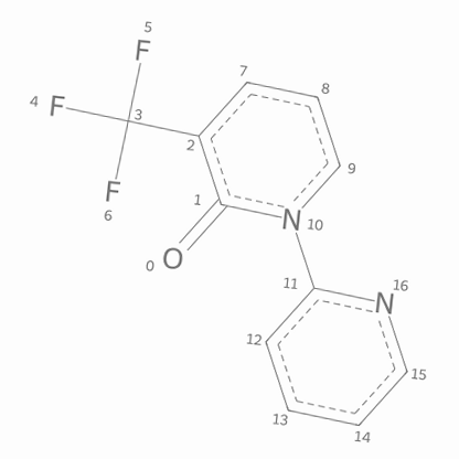 O=c1c(C(F)(F)F)cccn1-c1ccccn1